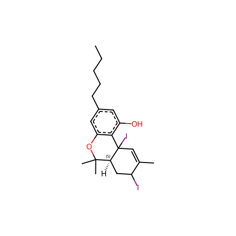 CCCCCc1cc(O)c2c(c1)OC(C)(C)[C@@H]1CC(I)C(C)=CC21I